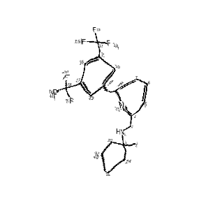 [CH]C1(NCc2cccc(-c3cc(C(F)(F)F)cc(C(F)(F)F)c3)n2)CCCC1